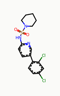 O=S(=O)(Nc1ccc(-c2ccc(Cl)cc2Cl)cn1)N1CCCCC1